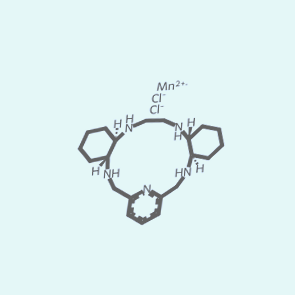 [Cl-].[Cl-].[Mn+2].c1cc2nc(c1)CN[C@@H]1CCCC[C@H]1NCCN[C@@H]1CCCC[C@H]1NC2